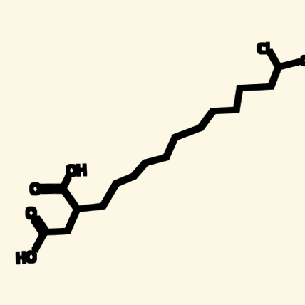 O=C(O)CC(CCCCCCCCCCCC(Cl)Cl)C(=O)O